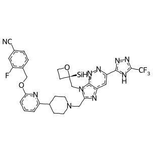 N#Cc1ccc(COc2cccc(C3CCN(Cc4nc5cc(-c6nnc(C(F)(F)F)[nH]6)nnc5n4C[C@]4([SiH3])CCO4)CC3)n2)c(F)c1